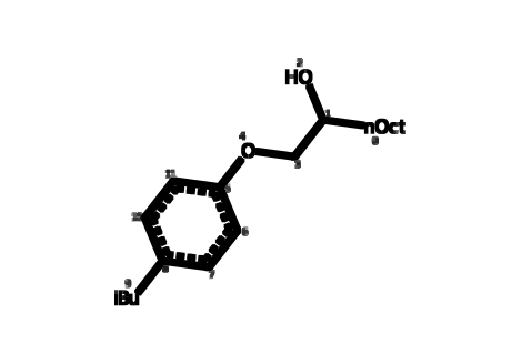 CCCCCCCCC(O)COc1ccc(C(C)CC)cc1